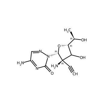 C#C[C@@]1(N)C(O)[C@@H]([C@@H](C)O)O[C@H]1n1ncc(N)nc1=O